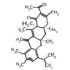 C=C1C2=C(C)[C@@]3(C)C(=O)C(C(C)=O)=C(C)C[C@@]3(C)C[C@@]2(C)Cc2c(C(C)C)cc(C)c(C)c21